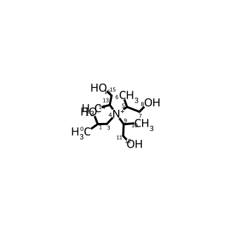 CC(O)C[N+](C(C)CO)(C(C)CO)C(C)CO